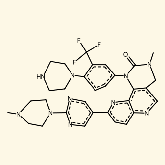 CN1CCN(c2ncc(-c3ccc4ncc5c(c4n3)N(c3ccc(N4CCNCC4)c(C(F)(F)F)c3)C(=O)N(C)C5)cn2)CC1